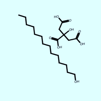 CCCCCCCCCCCCCCO.O=C(O)CC(O)(CC(=O)O)C(=O)O